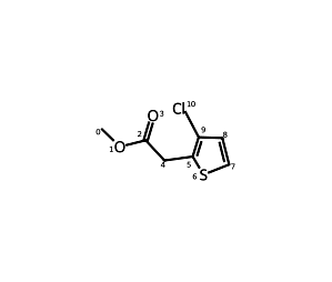 COC(=O)Cc1sccc1Cl